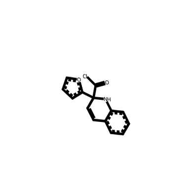 O=C(Cl)C1(c2ccco2)C=Cc2ccccc2N1